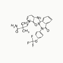 CC(C)(Cn1cccc(Nc2nn(-c3ccc(OC(F)(F)F)cc3)c(=O)c3ccccc23)c1=O)C(N)=O